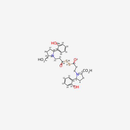 O=C(CCN1C(C(=O)O)CCC1c1ccccc1O)SSC(=O)CCN1C(C(=O)O)CCC1c1ccccc1O